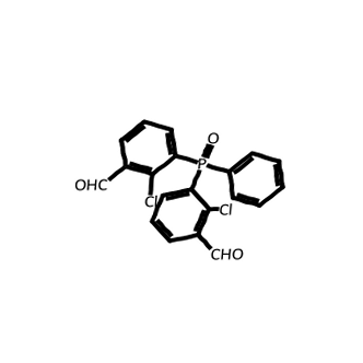 O=Cc1cccc(P(=O)(c2ccccc2)c2cccc(C=O)c2Cl)c1Cl